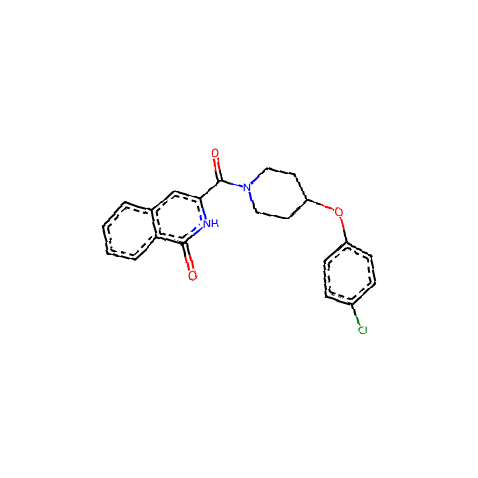 O=C(c1cc2ccccc2c(=O)[nH]1)N1CCC(Oc2ccc(Cl)cc2)CC1